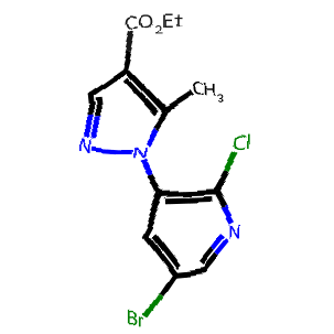 CCOC(=O)c1cnn(-c2cc(Br)cnc2Cl)c1C